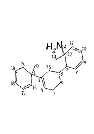 CC1(C2=CCCC(C3C=CC=CC3(C)N)C2)C=CC=CC1